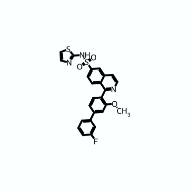 COc1cc(-c2cccc(F)c2)ccc1-c1nccc2cc(S(=O)(=O)Nc3nccs3)ccc12